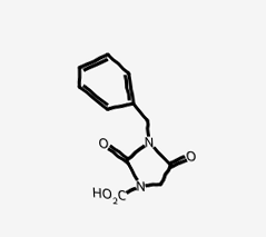 O=C(O)N1CC(=O)N(Cc2ccccc2)C1=O